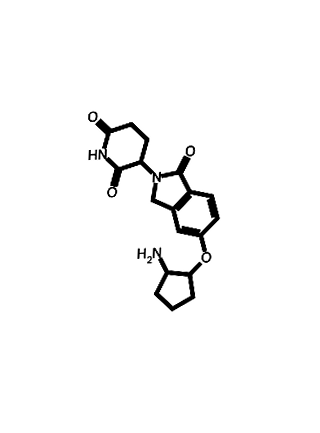 NC1CCCC1Oc1ccc2c(c1)CN(C1CCC(=O)NC1=O)C2=O